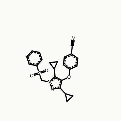 N#Cc1ccc(Oc2c(C3CC3)nn(CS(=O)(=O)c3ccccc3)c2C2CC2)cc1